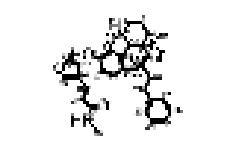 CN(C)[C@@]12CCC[C@@H]3Oc4c(O)ccc5c4[C@@]31CCN(CCc1ccccc1)[C@@H]2C5.CNC(=O)/C=C/c1ccoc1